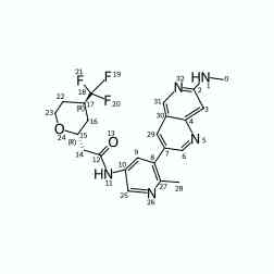 CNc1cc2ncc(-c3cc(NC(=O)C[C@H]4C[C@H](C(F)(F)F)CCO4)cnc3C)cc2cn1